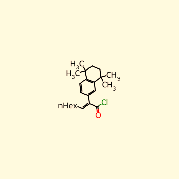 CCCCCC/C=C(/C(=O)Cl)c1ccc2c(c1)C(C)(C)CCC2(C)C